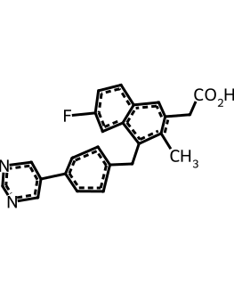 Cc1c(CC(=O)O)cc2ccc(F)cc2c1Cc1ccc(-c2cncnc2)cc1